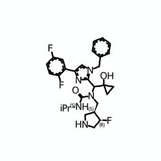 [CH2][C@@H](C)NC(=O)N(C[C@@H]1CNC[C@@H]1F)C(c1nc(-c2cc(F)ccc2F)cn1Cc1ccccc1)C1(O)CC1